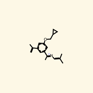 C=C(C)c1cc(OCC2CC2)cc(/C(C)=N/C=C(C)C)c1